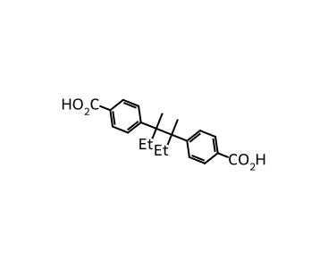 CCC(C)(c1ccc(C(=O)O)cc1)C(C)(CC)c1ccc(C(=O)O)cc1